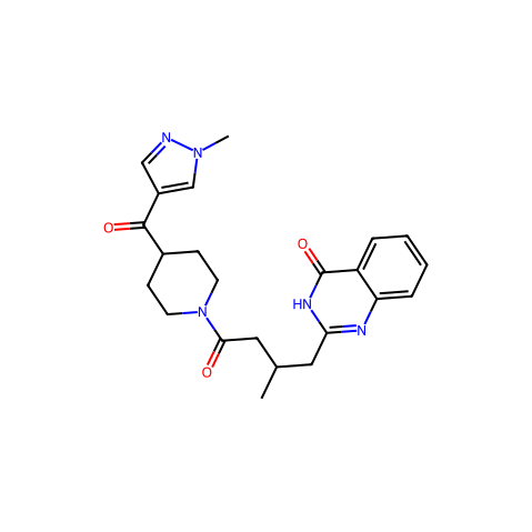 CC(CC(=O)N1CCC(C(=O)c2cnn(C)c2)CC1)Cc1nc2ccccc2c(=O)[nH]1